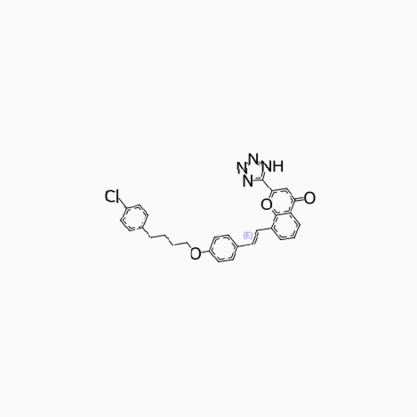 O=c1cc(-c2nnn[nH]2)oc2c(/C=C/c3ccc(OCCCCc4ccc(Cl)cc4)cc3)cccc12